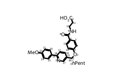 CCCCC[C@@H](Oc1ccc(C(=O)NCCC(=O)O)cc1)c1ccc(-c2ccc(OC)cc2)nc1